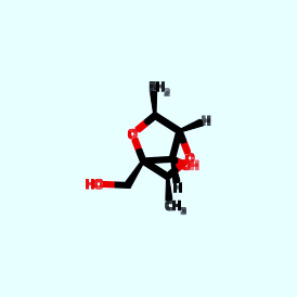 B[C@@H]1O[C@@]2(CO)[C@H](C)O[C@@H]1[C@@H]2O